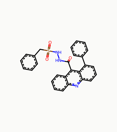 O=C(NNS(=O)(=O)Cc1ccccc1)c1c2ccccc2nc2cccc(-c3ccccc3)c12